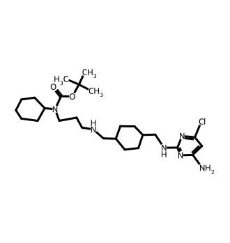 CC(C)(C)OC(=O)N(CCCNCC1CCC(CNc2nc(N)cc(Cl)n2)CC1)C1CCCCC1